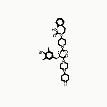 Cc1cc(C[C@@H](OC(=O)N2CCC(N3CCc4ccccc4NC3=O)CC2)C(=O)N2CCN(C3CCNCC3)CC2)cc(C)c1Br